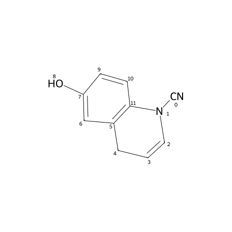 N#CN1C=CCc2cc(O)ccc21